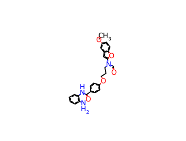 COc1ccc2oc(N(C=O)CCCOc3ccc(C(=O)Nc4ccccc4N)cc3)cc2c1